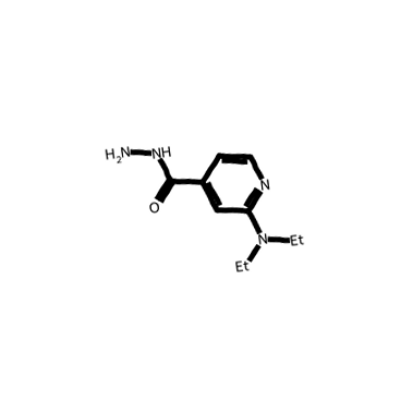 CCN(CC)c1cc(C(=O)NN)ccn1